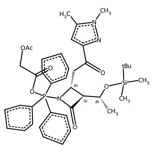 CC(=O)OCC(=O)OP(c1ccccc1)(c1ccccc1)(c1ccccc1)N1C(=O)[C@H]([C@@H](C)O[Si](C)(C)C(C)(C)C)[C@H]1CC(=O)c1cc(C)n(C)n1